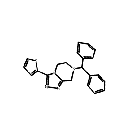 c1ccc(C(c2ccccc2)N2CCn3c(nnc3-c3cccs3)C2)cc1